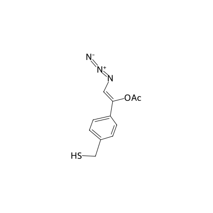 CC(=O)OC(=CN=[N+]=[N-])c1ccc(CS)cc1